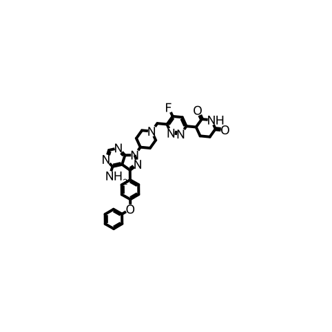 Nc1ncnc2c1c(-c1ccc(Oc3ccccc3)cc1)nn2C1CCN(Cc2nnc(C3CCC(=O)NC3=O)cc2F)CC1